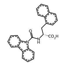 O=C(O)[C@@H](Cc1cccc2ccccc12)NC(=O)n1c2ccccc2c2ccccc21